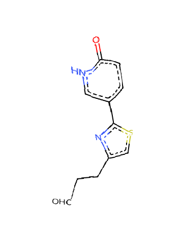 O=CCCc1csc(-c2ccc(=O)[nH]c2)n1